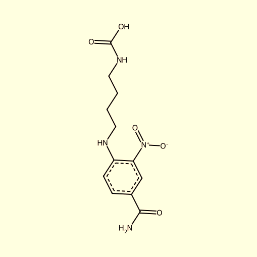 NC(=O)c1ccc(NCCCCNC(=O)O)c([N+](=O)[O-])c1